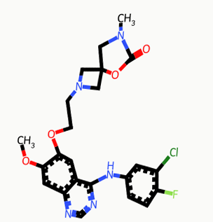 COc1cc2ncnc(Nc3ccc(F)c(Cl)c3)c2cc1OCCN1CC2(C1)CN(C)C(=O)O2